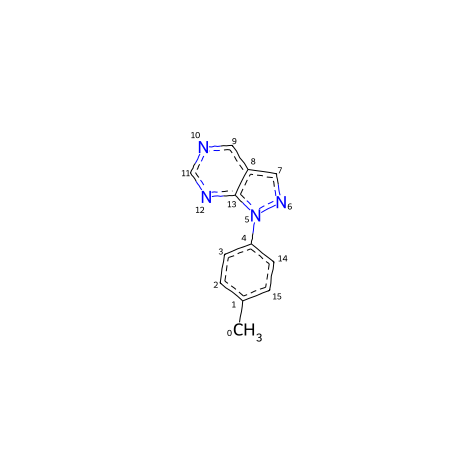 Cc1ccc(-n2ncc3cncnc32)cc1